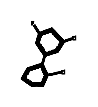 Fc1[c]c(Cl)cc(-c2ccccc2Cl)c1